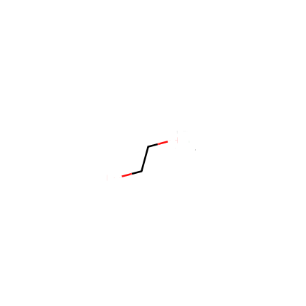 OCCO.[Cl-].[Li+]